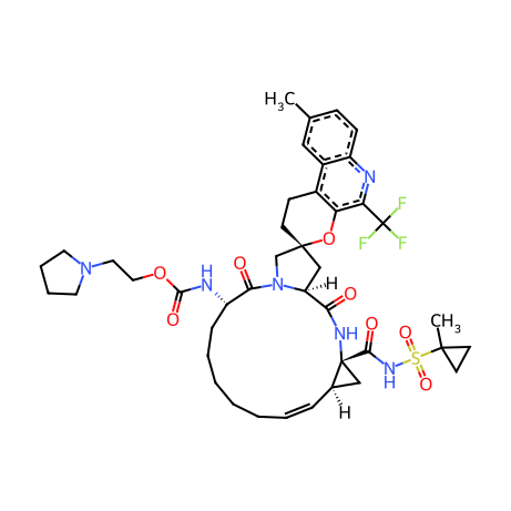 Cc1ccc2nc(C(F)(F)F)c3c(c2c1)CC[C@]1(C[C@H]2C(=O)N[C@]4(C(=O)NS(=O)(=O)C5(C)CC5)C[C@H]4/C=C\CCCCC[C@H](NC(=O)OCCN4CCCC4)C(=O)N2C1)O3